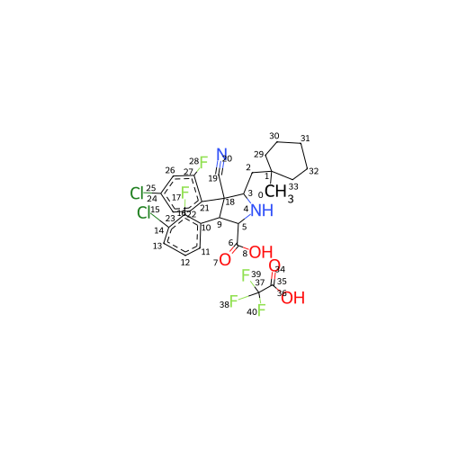 CC1(CC2NC(C(=O)O)C(c3cccc(Cl)c3F)C2(C#N)c2ccc(Cl)cc2F)CCCCC1.O=C(O)C(F)(F)F